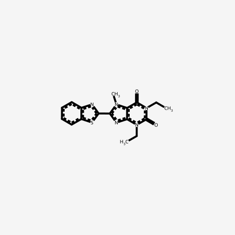 CCn1c(=O)c2c(nc(-c3nc4ccccc4s3)n2C)n(CC)c1=O